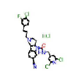 Cl.N#Cc1ccc2c3c(n(C(=O)NCc4cc(Cl)nc(Cl)c4)c2c1)CCN(C/C=C/c1ccc(Cl)c(F)c1)C3